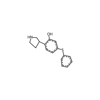 Oc1cc(Sc2ccccc2)ccc1C1CCNC1